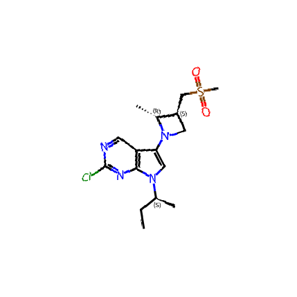 CC[C@H](C)n1cc(N2C[C@H](CS(C)(=O)=O)[C@H]2C)c2cnc(Cl)nc21